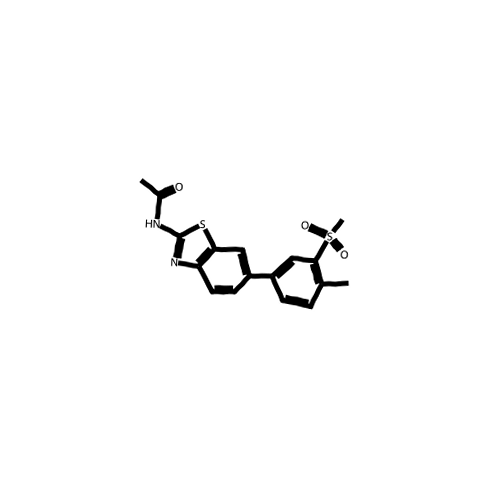 CC(=O)Nc1nc2ccc(-c3ccc(C)c(S(C)(=O)=O)c3)cc2s1